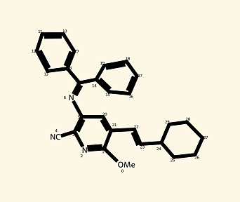 COc1nc(C#N)c(N=C(c2ccccc2)c2ccccc2)cc1/C=C/C1CCCCC1